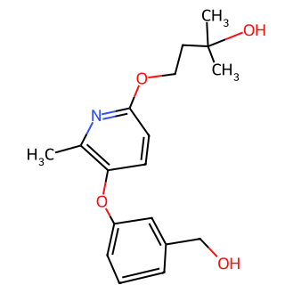 Cc1nc(OCCC(C)(C)O)ccc1Oc1cccc(CO)c1